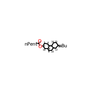 CCCCCC(=O)OC1CCC2C(CCC3CC(CCCC)CCC32)C1